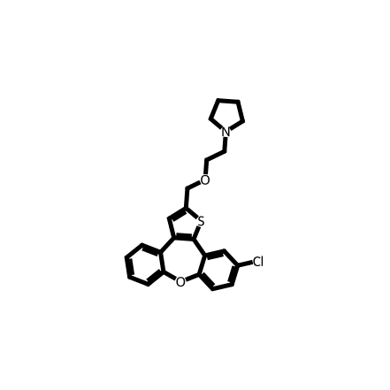 Clc1ccc2c(c1)-c1sc(COCCN3CCCC3)cc1-c1ccccc1O2